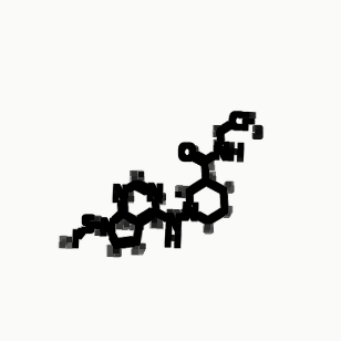 O=C(NCC(F)(F)F)C1CCCN(Nc2ncnc3c2ccn3SI)C1